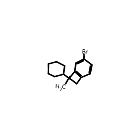 CC1(C2CCCCC2)Cc2ccc(Br)cc21